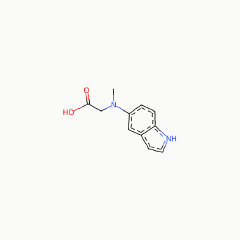 CN(CC(=O)O)c1ccc2[nH]ccc2c1